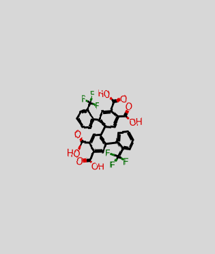 O=C(O)c1cc(-c2cc(C(=O)O)c(C(=O)O)cc2-c2ccccc2C(F)(F)F)c(-c2ccccc2C(F)(F)F)cc1C(=O)O